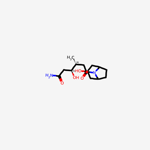 C[C@H](CC(=O)N1C2CCC1CC(O)C2)[C@@H](O)CC(N)=O